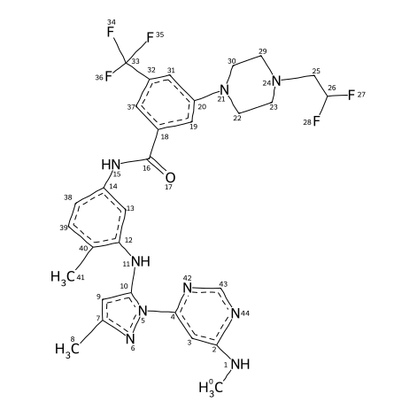 CNc1cc(-n2nc(C)cc2Nc2cc(NC(=O)c3cc(N4CCN(CC(F)F)CC4)cc(C(F)(F)F)c3)ccc2C)ncn1